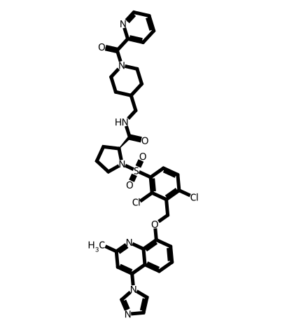 Cc1cc(-n2ccnc2)c2cccc(OCc3c(Cl)ccc(S(=O)(=O)N4CCC[C@H]4C(=O)NCC4CCN(C(=O)c5ccccn5)CC4)c3Cl)c2n1